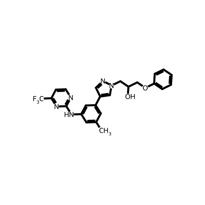 Cc1cc(Nc2nccc(C(F)(F)F)n2)cc(-c2cnn(CC(O)COc3ccccc3)c2)c1